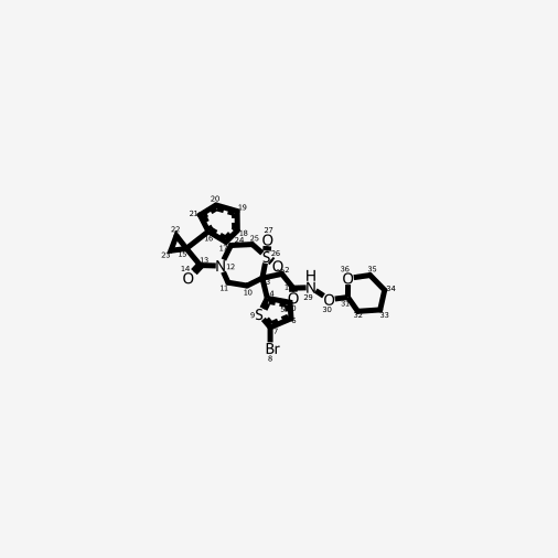 O=C(CC1(c2ccc(Br)s2)CCN(C(=O)C2(c3ccccc3)CC2)CCS1(=O)=O)NOC1CCCCO1